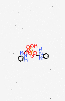 O=P(O)(CP(=O)(O)OCc1nc2ccccc2[nH]1)OCc1nc2ccccc2[nH]1